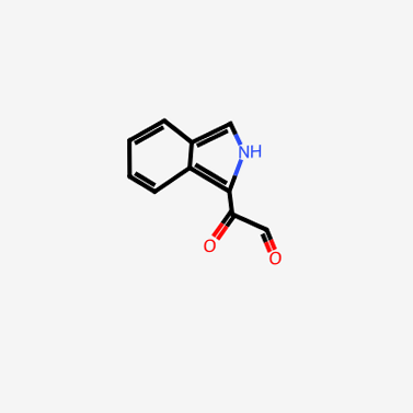 O=CC(=O)c1[nH]cc2ccccc12